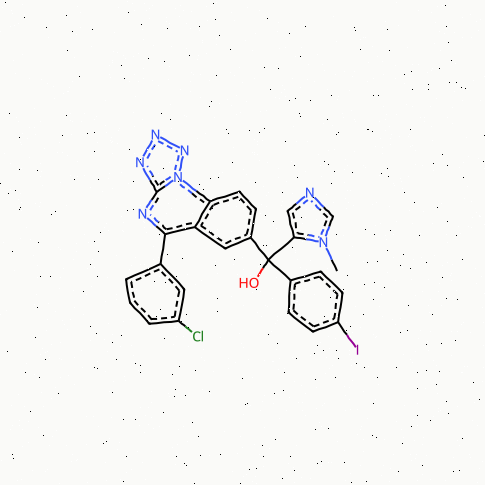 Cn1cncc1C(O)(c1ccc(I)cc1)c1ccc2c(c1)c(-c1cccc(Cl)c1)nc1nnnn12